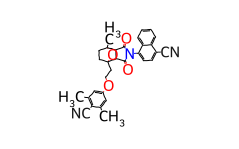 Cc1cc(OCCC23CCC(C)(O2)C2C(=O)N(c4ccc(C#N)c5ccccc45)C(=O)C23)cc(C)c1C#N